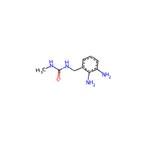 CNC(=O)NCc1cccc(N)c1N